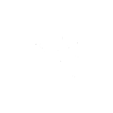 O=C1OC(F)(F)C(F)(CC(F)(F)F)O1